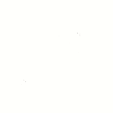 NC(=O)c1ccc(S(=O)(=O)N2CCCC2)cc1